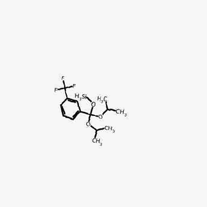 CC(C)OC(O[SiH3])(OC(C)C)c1cccc(C(F)(F)F)c1